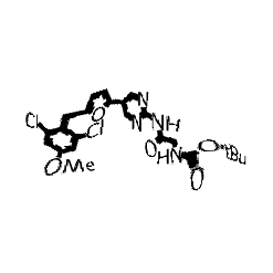 COc1cc(Cl)c(Cc2ccc(-c3cnc(NC(=O)CNC(=O)OC(C)(C)C)nc3)o2)c(Cl)c1